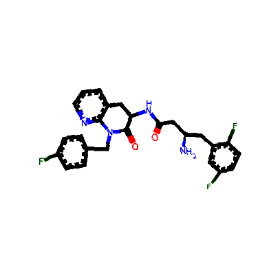 N[C@@H](CC(=O)NC1Cc2cccnc2N(Cc2ccc(F)cc2)C1=O)Cc1cc(F)ccc1F